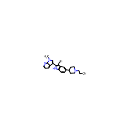 CC(C)c1c(-c2cn(C)c3ncccc23)[nH]c2ccc(C3CCN(CCC#N)CC3)cc12